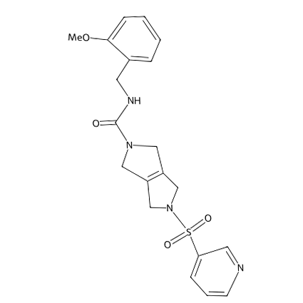 COc1ccccc1CNC(=O)N1CC2=C(C1)CN(S(=O)(=O)c1cccnc1)C2